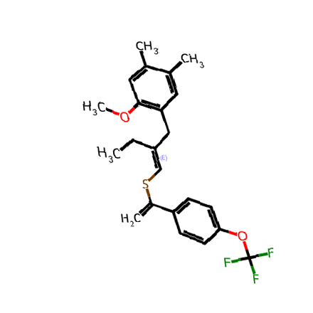 C=C(S/C=C(\CC)Cc1cc(C)c(C)cc1OC)c1ccc(OC(F)(F)F)cc1